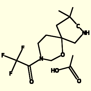 CC(=O)O.CC1(C)CNCC2(CCN(C(=O)C(F)(F)F)CO2)C1